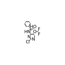 OC[C@@H](Nc1nc(Cl)ncc1OC(F)F)c1ccccc1